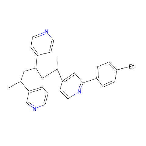 CCc1ccc(-c2cc(C(C)CC(CC(C)c3cccnc3)c3ccncc3)ccn2)cc1